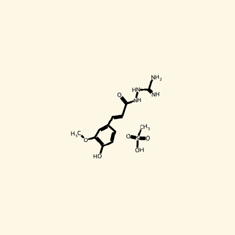 COc1cc(/C=C/C(=O)NNC(=N)N)ccc1O.CS(=O)(=O)O